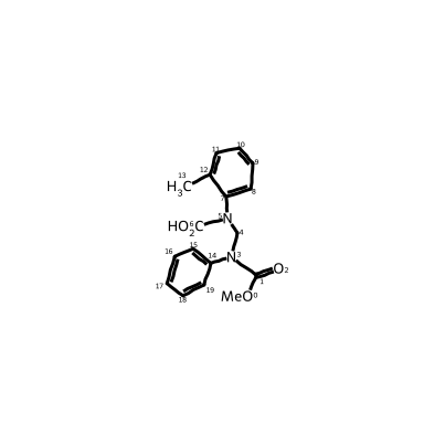 COC(=O)N(CN(C(=O)O)c1ccccc1C)c1ccccc1